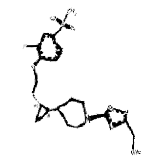 COCc1noc(N2CCC([C@H]3C[C@@H]3CCOc3ccc(S(C)(=O)=O)cc3F)CC2)n1